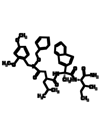 CCC(C)[C@H](NC(=O)[C@@](C)(NC(=O)C(CC(=O)N(Cc1ccc(OC)cc1OC)OCc1ccccc1)CC(C)C)c1ccc2ccccc2c1)C(N)=O